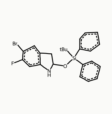 CC(C)(C)[Si](OC1Cc2cc(Br)c(F)cc2N1)(c1ccccc1)c1ccccc1